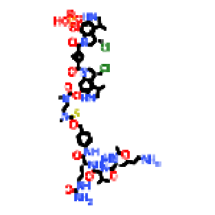 CC(=O)N[C@@H](CCCCN)C(=O)N[C@H](C(=O)N[C@@H](CCCNC(N)=O)C(=O)Nc1ccc(COC(=S)N(C)CCN(C)C(=O)Oc2cc3c(c4c(C)c[nH]c24)[C@H](CCl)CN3C(=O)C23CC(C(=O)N4C[C@@H](CCl)c5c4cc(OP(=O)(O)O)c4[nH]cc(C)c54)(C2)C3)cc1)C(C)C